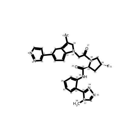 CC(=O)C1=C2CC(c3ccnnc3)=CC=C2N(CC(=O)N2C[C@H](F)C[C@H]2C(=O)Nc2ccccc2-c2nncn2C)C1